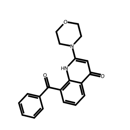 O=C(c1ccccc1)c1cccc2c(=O)cc(N3CCOCC3)[nH]c12